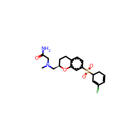 CN(CC(N)=O)C[C@H]1CCc2ccc(S(=O)(=O)C3C=C(F)C=CC3)cc2O1